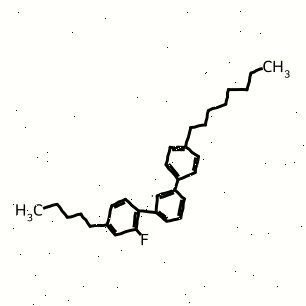 CCCCCCCCc1ccc(-c2[c]c(-c3ccc(CCCCC)cc3F)ccc2)cc1